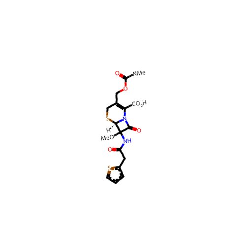 CNC(=O)OCC1=C(C(=O)O)N2C(=O)C(NC(=O)Cc3cccs3)(OC)[C@H]2SC1